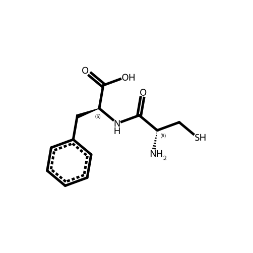 N[C@@H](CS)C(=O)N[C@@H](Cc1ccccc1)C(=O)O